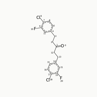 O=C(CCc1ccc(Cl)c(F)c1)CCc1ccc(Cl)c(F)c1